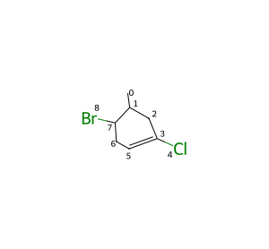 CC1CC(Cl)=CCC1Br